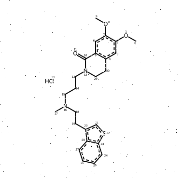 COc1cc2c(cc1OC)C(=O)N(CCCN(C)CCc1csc3ccccc13)CC2.Cl